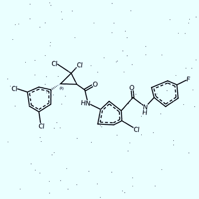 O=C(Nc1ccc(F)cc1)c1cc(NC(=O)C2[C@H](c3cc(Cl)cc(Cl)c3)C2(Cl)Cl)ccc1Cl